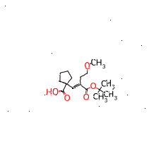 COCCC(=CC1(C(=O)O)CCCC1)C(=O)OC(C)(C)C